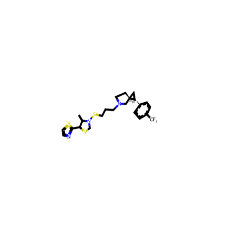 CC1C(c2nccs2)SCN1SCCCN1CC[C@]2(C[C@@H]2c2ccc(C(F)(F)F)cc2)C1